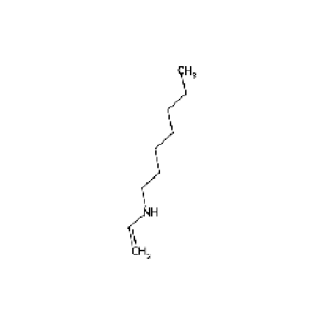 C=CNCCCCCCC